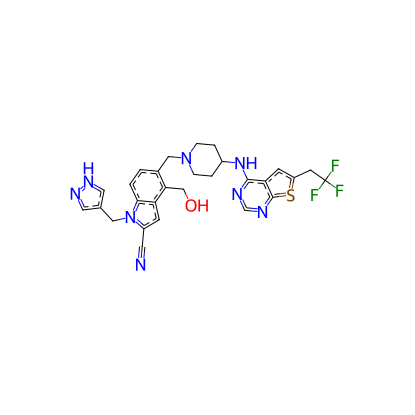 N#Cc1cc2c(CO)c(CN3CCC(Nc4ncnc5sc(CC(F)(F)F)cc45)CC3)ccc2n1Cc1cn[nH]c1